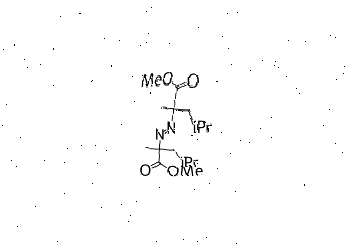 COC(=O)C(C)(CC(C)C)N=NC(C)(CC(C)C)C(=O)OC